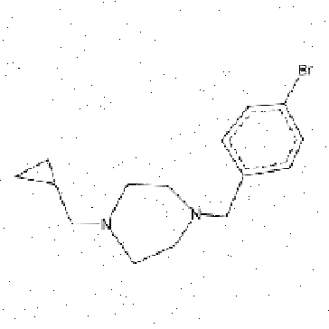 Brc1ccc(CN2CCN(CC3CC3)CC2)cc1